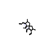 C=C/C=C1\C(=C/C)C2(CC(C)C(C=C)=C2C=C)CC1C